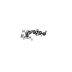 C[C@H]1CN(Cc2ccc(N(C)C(=O)N3CCC(c4cccc(F)c4)CC3)cc2)CCN1C(=O)OC(C)(C)C